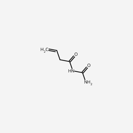 C=CCC(=O)NC(N)=O